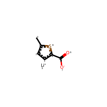 Cc1ccc(C(=O)[O-])s1.[Li+]